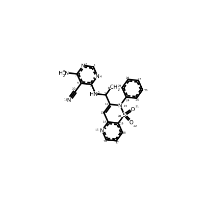 CC(Nc1ncnc(N)c1C#N)C1=Cc2ncccc2S(=O)(=O)N1c1ccccc1